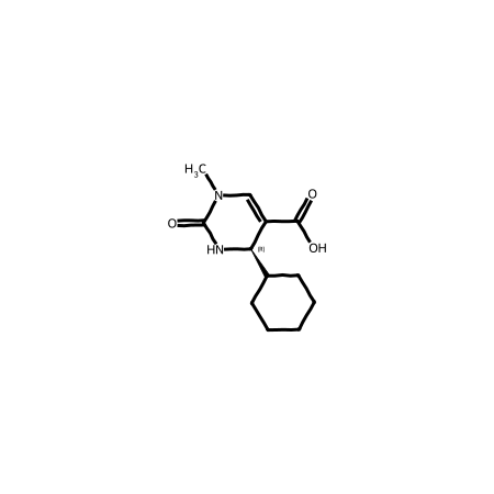 CN1C=C(C(=O)O)[C@@H](C2CCCCC2)NC1=O